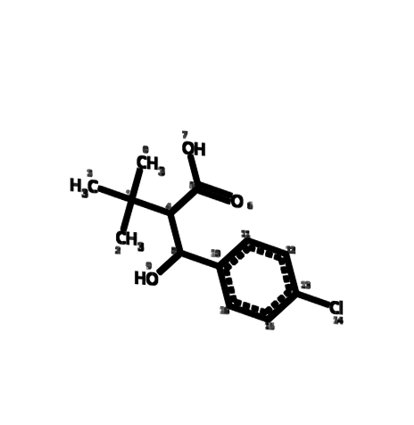 CC(C)(C)C(C(=O)O)C(O)c1ccc(Cl)cc1